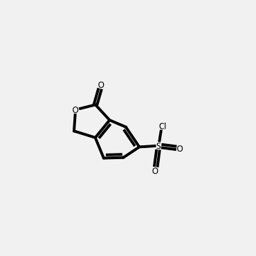 O=C1OCc2ccc(S(=O)(=O)Cl)cc21